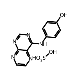 O=S(=O)(O)O.Oc1ccc(Nc2ncnc3nccnc23)cc1